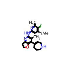 CNc1cc(Nc2nc3c(c(C4=CCNCCC4)c2C)OCC3)nc(C)c1F